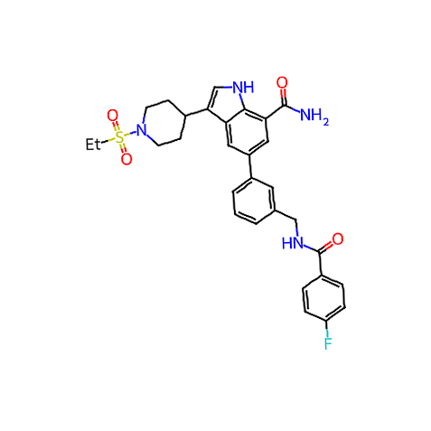 CCS(=O)(=O)N1CCC(c2c[nH]c3c(C(N)=O)cc(-c4cccc(CNC(=O)c5ccc(F)cc5)c4)cc23)CC1